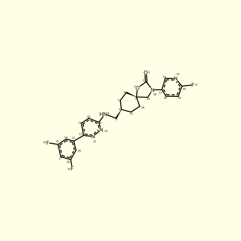 O=C1O[C@]2(CC[C@H](CNc3ccc(-c4cc(F)cc(F)c4)nn3)CC2)CN1c1ccc(F)nc1